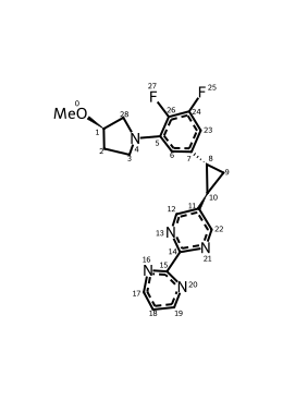 CO[C@@H]1CCN(c2cc([C@@H]3C[C@H]3c3cnc(-c4ncccn4)nc3)cc(F)c2F)C1